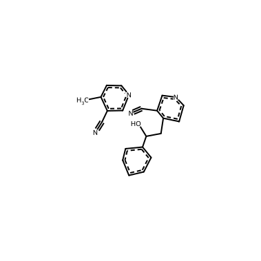 Cc1ccncc1C#N.N#Cc1cnccc1CC(O)c1ccccc1